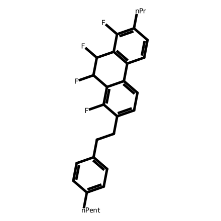 CCCCCc1ccc(CCc2ccc3c(c2F)C(F)C(F)c2c-3ccc(CCC)c2F)cc1